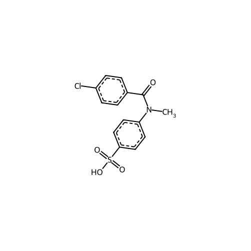 CN(C(=O)c1ccc(Cl)cc1)c1ccc(S(=O)(=O)O)cc1